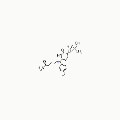 CC(C)(CO)COc1ccc(/C(=C/CCCC(N)=O)c2ccc(CF)cc2)[nH]c1=O